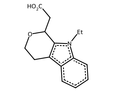 CCn1c2c(c3ccccc31)CCOC2CC(=O)O